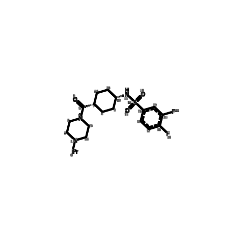 CC(C)N1CCN(C(=O)[C@H]2CC[C@@H](NS(=O)(=O)c3ccc(F)c(F)c3)CC2)CC1